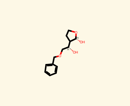 O[C@H](COCc1ccccc1)C1CCO[C@@H]1O